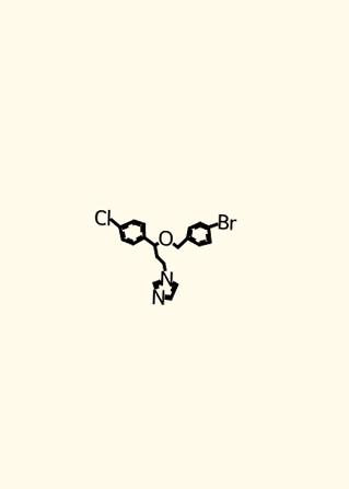 Clc1ccc(C(CCn2ccnc2)OCc2ccc(Br)cc2)cc1